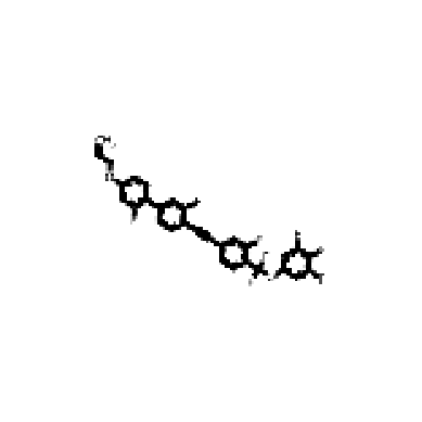 C=CCOc1ccc(-c2ccc(C#Cc3ccc(C(F)(F)Oc4cc(F)c(F)c(F)c4)c(F)c3)c(F)c2)c(F)c1